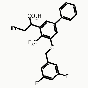 CC(C)CC(C(=O)O)c1cc(-c2ccccc2)cc(OCc2cc(F)cc(F)c2)c1C(F)(F)F